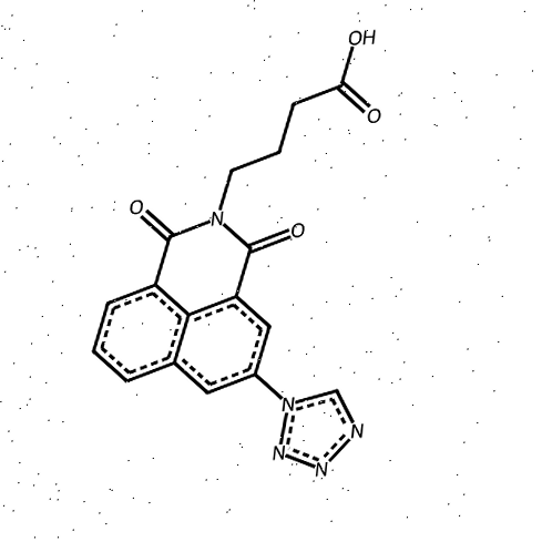 O=C(O)CCCN1C(=O)c2cccc3cc(-n4cnnn4)cc(c23)C1=O